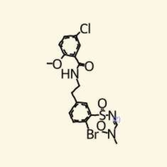 COc1ccc(Cl)cc1C(=O)NCCc1ccc(Br)c(S(=O)(=O)/N=C\N(C)C)c1